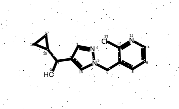 OC(c1cnn(Cc2cccnc2Cl)c1)C1CC1